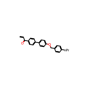 C=CC(=O)c1ccc(-c2ccc(OCc3ccc(CCC)cc3)cc2)cc1